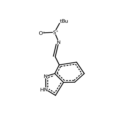 CC(C)(C)[S+]([O-])N=Cc1cccc2c[nH]nc12